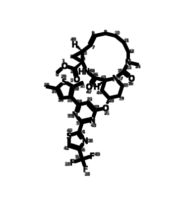 COC(=O)[C@@]12C[C@H]1/C=C/CCCCN(C)C(=O)N1CC[C@H](Oc3cc(-c4cc(C)sc4C)nc(-c4nc(C(F)(F)F)cs4)n3)C[C@H]1C(=O)N2